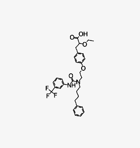 CCOC(Cc1ccc(OCCN(CCCCc2ccccc2)C(=O)Nc2cccc(C(F)(F)F)c2)cc1)C(=O)O